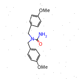 COc1ccc(CN(Cc2ccc(OC)cc2)C(N)=O)cc1